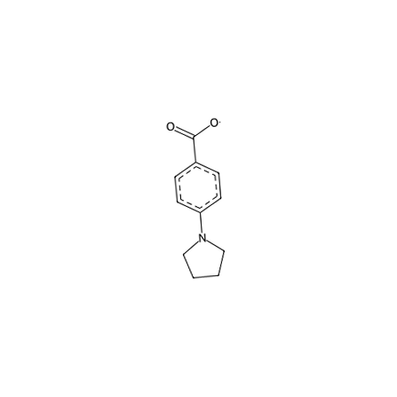 [O]C(=O)c1ccc(N2CCCC2)cc1